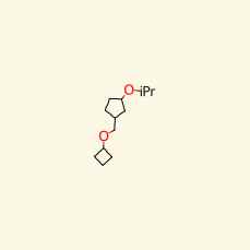 CC(C)OC1CCC(COC2CCC2)C1